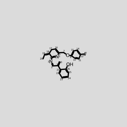 C=C(/C=N\C1=NC(COc2ccc(F)cc2)=CC/C1=C/C)c1ccccc1O